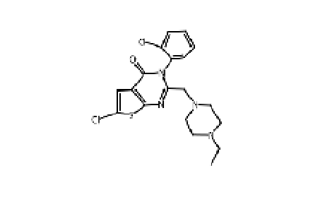 CCN1CCN(Cc2nc3sc(Cl)cc3c(=O)n2-c2ccccc2Cl)CC1